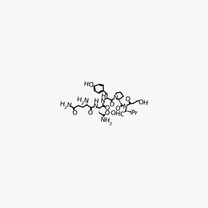 CC(C)[C@@H]([C]=O)N(C(=O)CCO)C(=O)[C@@H]1CCCN1C(=O)[C@H](Cc1ccc(O)cc1)NC(=O)[C@H](CC(N)=O)NC(=O)[C@@H](N)CCC(N)=O